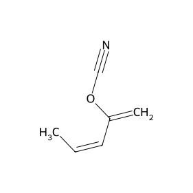 C=C(/C=C\C)OC#N